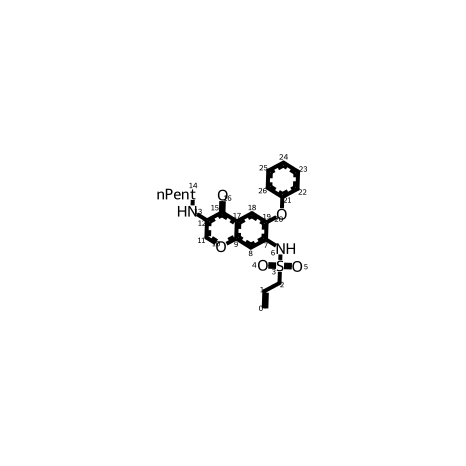 C=CCS(=O)(=O)Nc1cc2occ(NCCCCC)c(=O)c2cc1Oc1ccccc1